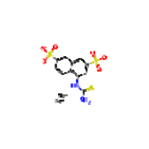 NC(=S)Nc1cc(S(=O)(=O)[O-])cc2cc(S(=O)(=O)[O-])ccc12.[Na+].[Na+]